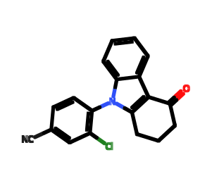 N#Cc1ccc(-n2c3c(c4ccccc42)C(=O)CCC3)c(Cl)c1